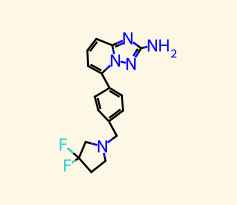 Nc1nc2cccc(-c3ccc(CN4CCC(F)(F)C4)cc3)n2n1